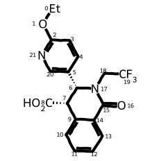 CCOc1ccc([C@H]2[C@@H](C(=O)O)c3ccccc3C(=O)N2CC(F)(F)F)cn1